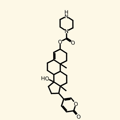 CC12CCC(OC(=O)N3CCNCC3)C=C1CCC1C2CCC2(C)C(c3ccc(=O)oc3)CCC12O